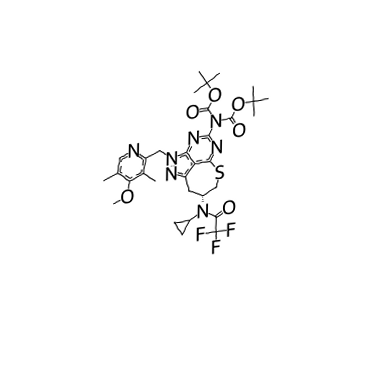 COc1c(C)cnc(Cn2nc3c4c(nc(N(C(=O)OC(C)(C)C)C(=O)OC(C)(C)C)nc42)SC[C@H](N(C(=O)C(F)(F)F)C2CC2)C3)c1C